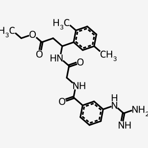 CCOC(=O)CC(NC(=O)CNC(=O)c1cccc(NC(=N)N)c1)c1cc(C)ccc1C